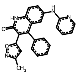 Cc1cc(-c2c(-c3ccccc3)c3cc(Nc4ccccn4)ccc3[nH]c2=O)on1